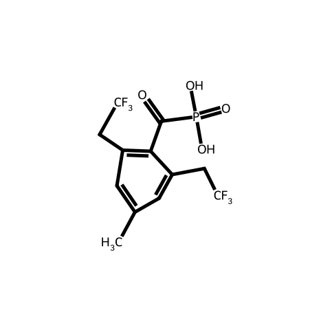 Cc1cc(CC(F)(F)F)c(C(=O)P(=O)(O)O)c(CC(F)(F)F)c1